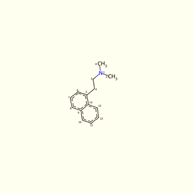 CN(C)CCc1cccc2ccccc12